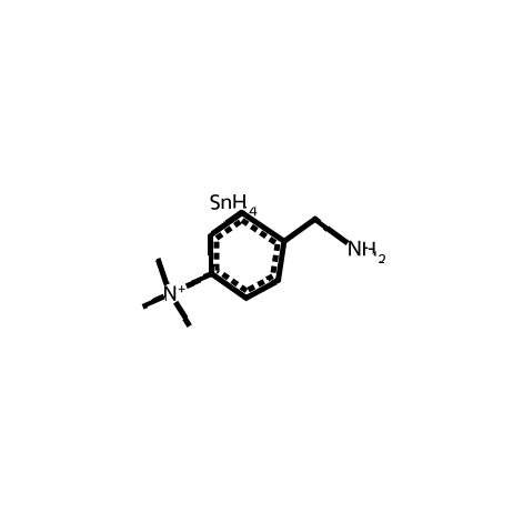 C[N+](C)(C)c1ccc(CN)cc1.[SnH4]